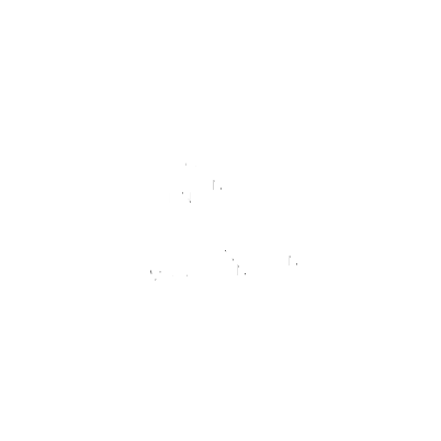 COCCn1nc2cnccc2c1-c1ccnc(NC(=O)C2CC2)c1